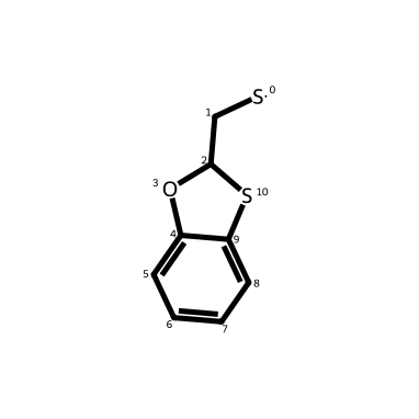 [S]CC1Oc2ccccc2S1